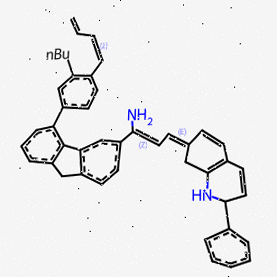 C=C/C=C\c1ccc(-c2cccc3c2-c2cc(/C(N)=C/C=C4/C=CC5=C(C4)NC(c4ccccc4)C=C5)ccc2C3)cc1CCCC